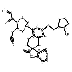 C=CC(=O)N1CCN(c2nc(OCC3CCCN3C)nc3c2CCC2(C3)C(=O)Nc3ccccc32)CC1CC#N